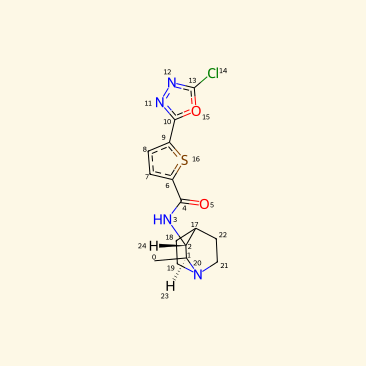 C[C@H]1[C@H](NC(=O)c2ccc(-c3nnc(Cl)o3)s2)C2CCN1CC2